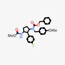 COC(=O)NC1CCC(N(Cc2ccc(OC)cc2)C(=O)OCc2ccccc2)C1c1ccc(F)cc1